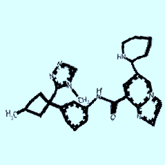 CC1CC(c2cccc(NC(=O)c3cc(C4CCCCN4)cn4ccnc34)c2)(c2nncn2C)C1